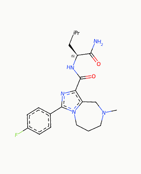 CC(C)C[C@H](NC(=O)c1nc(-c2ccc(F)cc2)n2c1CN(C)CCC2)C(N)=O